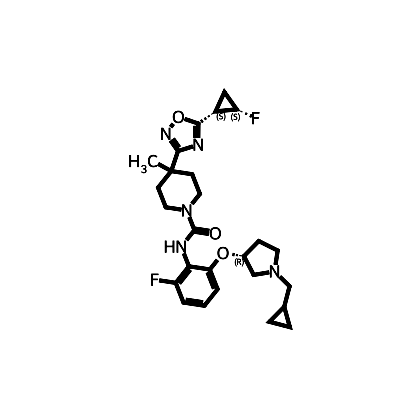 CC1(c2noc([C@@H]3C[C@@H]3F)n2)CCN(C(=O)Nc2c(F)cccc2O[C@@H]2CCN(CC3CC3)C2)CC1